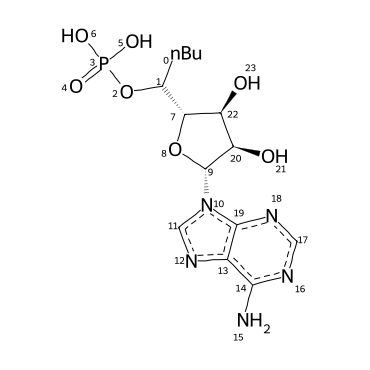 CCCCC(OP(=O)(O)O)[C@H]1O[C@@H](n2cnc3c(N)ncnc32)[C@H](O)[C@@H]1O